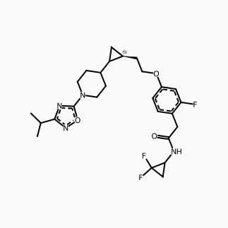 CC(C)c1noc(N2CCC(C3C[C@H]3CCOc3ccc(CC(=O)NC4CC4(F)F)c(F)c3)CC2)n1